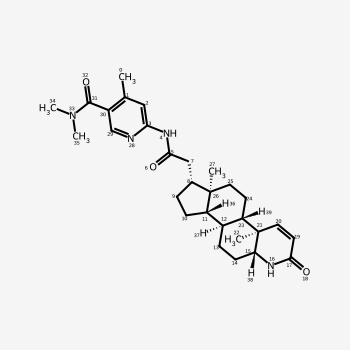 Cc1cc(NC(=O)C[C@H]2CC[C@H]3[C@@H]4CC[C@H]5NC(=O)C=C[C@]5(C)[C@H]4CC[C@]23C)ncc1C(=O)N(C)C